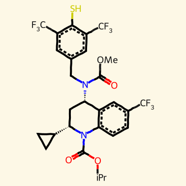 COC(=O)N(Cc1cc(C(F)(F)F)c(S)c(C(F)(F)F)c1)[C@H]1C[C@@H](C2CC2)N(C(=O)OC(C)C)c2ccc(C(F)(F)F)cc21